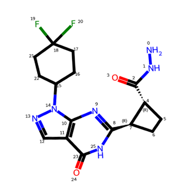 NNC(=O)[C@@H]1CC[C@H]1c1nc2c(cnn2C2CCC(F)(F)CC2)c(=O)[nH]1